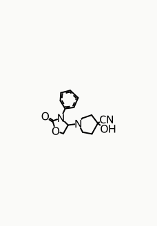 N#CC1(O)CCN(C2COC(=O)N2c2ccccc2)CC1